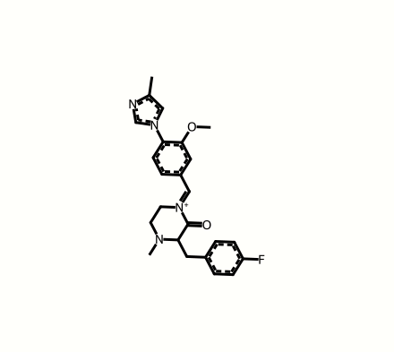 COc1cc(/C=[N+]2\CCN(C)C(Cc3ccc(F)cc3)C2=O)ccc1-n1cnc(C)c1